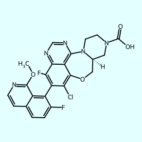 COc1nccc2ccc(F)c(-c3c(Cl)c4c5c(ncnc5c3F)N3CCN(C(=O)O)C[C@H]3CO4)c12